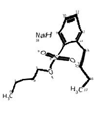 CCCCOS(=O)(=O)c1ccccc1CCCC.[NaH]